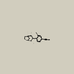 CC#Cc1ccc(C2C(=O)C3CC[C@@H](C3)C2=O)c(C)c1